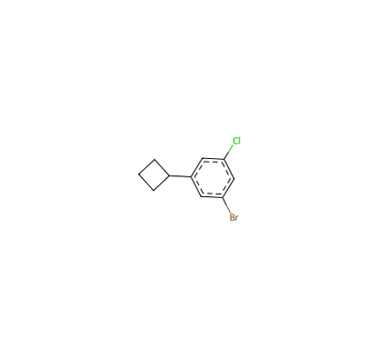 Clc1cc(Br)cc(C2CCC2)c1